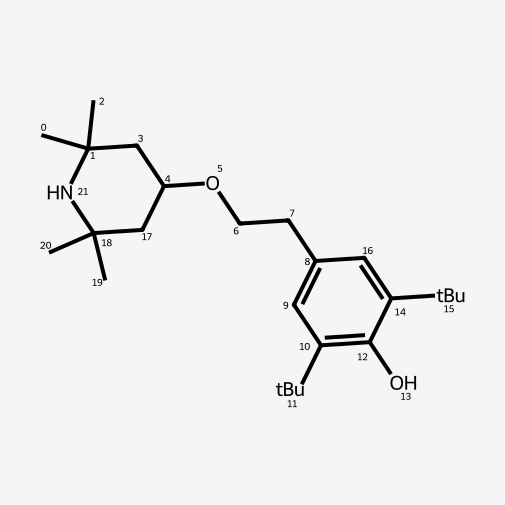 CC1(C)CC(OCCc2cc(C(C)(C)C)c(O)c(C(C)(C)C)c2)CC(C)(C)N1